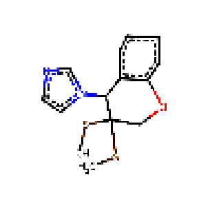 CSC1(SC)COc2ccccc2[C@@H]1n1ccnc1